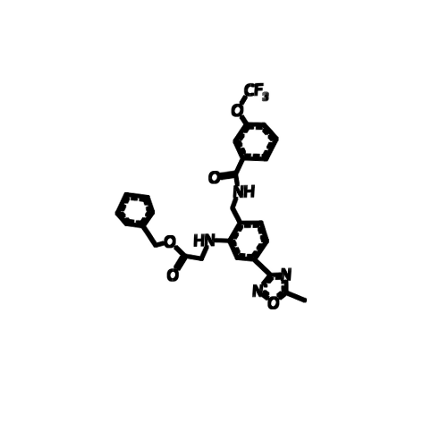 Cc1nc(-c2ccc(CNC(=O)c3cccc(OC(F)(F)F)c3)c(NCC(=O)OCc3ccccc3)c2)no1